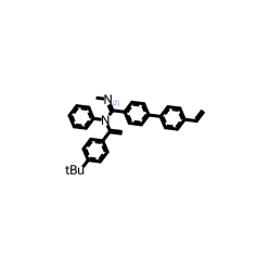 C=Cc1ccc(-c2ccc(/C(=N/C)N(C(=C)c3ccc(C(C)(C)C)cc3)c3ccccc3)cc2)cc1